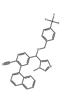 Cn1cncc1C(OCc1ccc(C(F)(F)F)cc1)c1ccc(C#N)c(-c2cccc3ccccc23)c1